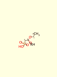 CCOC(=O)CS(=O)(=O)O.[KH]